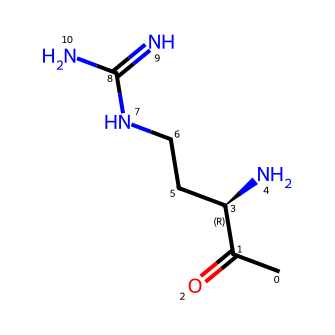 CC(=O)[C@H](N)CCNC(=N)N